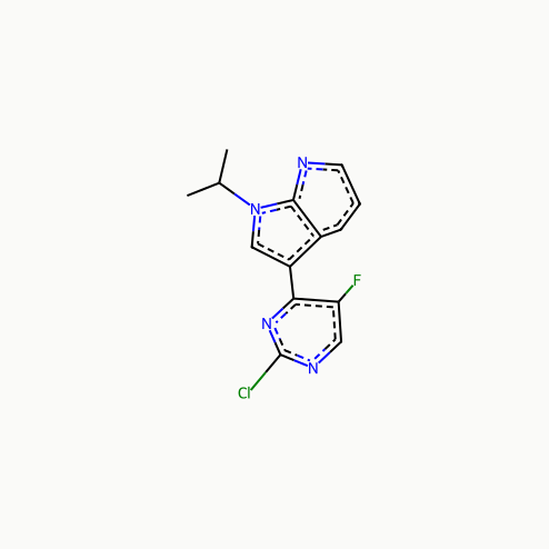 CC(C)n1cc(-c2nc(Cl)ncc2F)c2cccnc21